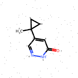 CC1(c2cn[nH]c(=O)c2)CC1